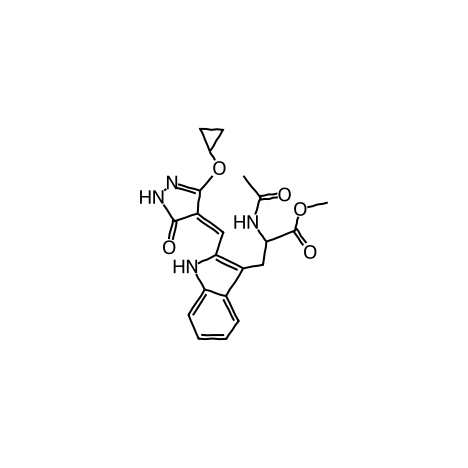 COC(=O)C(Cc1c(/C=C2\C(=O)NN=C2OC2CC2)[nH]c2ccccc12)NC(C)=O